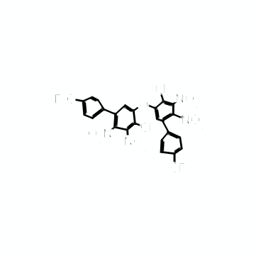 O=[N+]([O-])c1c(-c2ccc(C(F)(F)F)cc2)cc(Oc2cc(-c3ccc(C(F)(F)F)cc3)c([N+](=O)[O-])c([N+](=O)[O-])c2Cl)c(Cl)c1[N+](=O)[O-]